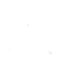 C=C/C(=C\N=C/C(=C)C)Oc1cc(C(F)(F)F)ccc1CC